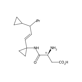 CC(C)C(C=CC1(NC(=O)[C@@H](N)CC(=O)O)CC1)C1CC1